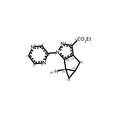 CCOC(=O)c1nn(-c2cnccn2)c2c1CC1C[C@H]21